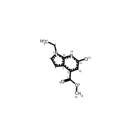 CCn1ccc2c(C(=O)OC)cc(Cl)nc21